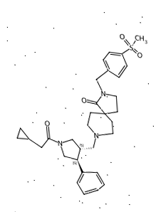 CS(=O)(=O)c1ccc(CN2CCC3(CCN(C[C@H]4CN(C(=O)CC5CC5)C[C@@H]4c4ccccc4)CC3)C2=O)cc1